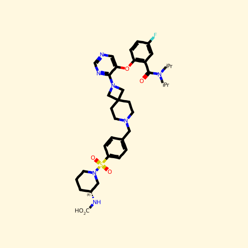 CC(C)N(C(=O)c1cc(F)ccc1Oc1cncnc1N1CC2(CCN(Cc3ccc(S(=O)(=O)N4CCC[C@@H](NC(=O)O)C4)cc3)CC2)C1)C(C)C